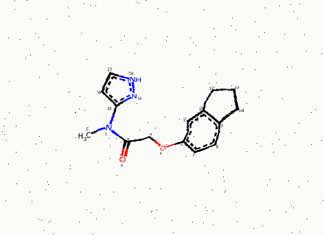 CN(C(=O)COc1ccc2c(c1)CCC2)c1cc[nH]n1